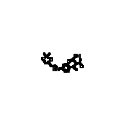 CC(=O)C(C(=O)O)C(C)c1ccc(NCCC2COC(C)(C)O2)cc1